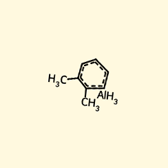 Cc1ccccc1C.[AlH3]